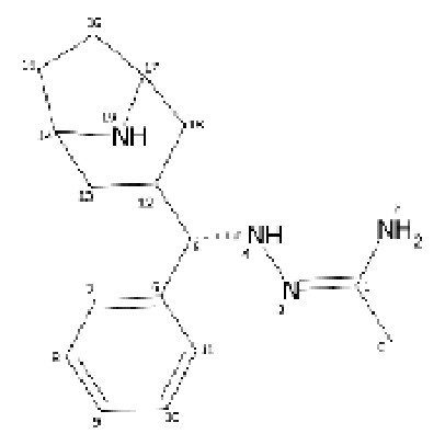 C/C(N)=N/N[C@H](c1ccccc1)C1CC2CCC(C1)N2